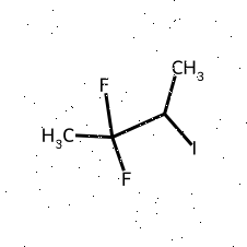 CC(I)C(C)(F)F